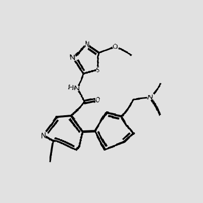 COc1nnc(NC(=O)c2cnc(C)cc2-c2cccc(CN(C)C)c2)s1